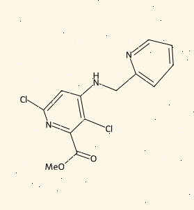 COC(=O)c1nc(Cl)cc(NCc2ccccn2)c1Cl